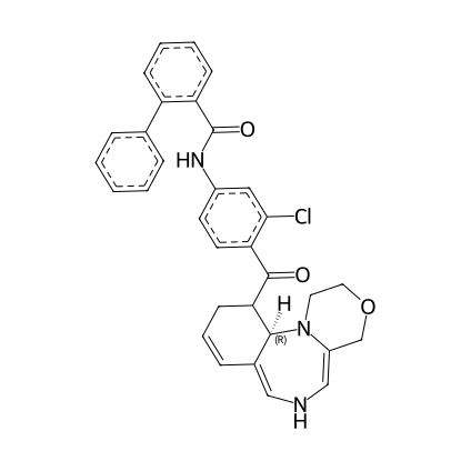 O=C(Nc1ccc(C(=O)C2CC=CC3=CNC=C4COCCN4[C@@H]32)c(Cl)c1)c1ccccc1-c1ccccc1